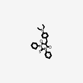 CCN(CC)c1ccc(C=C2C(=O)N(c3ccccc3)C(=S)N(c3ccccc3)C2=O)cc1